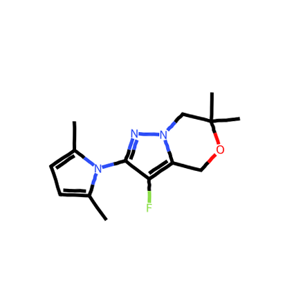 Cc1ccc(C)n1-c1nn2c(c1F)COC(C)(C)C2